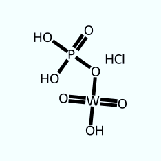 Cl.O=P(O)(O)[O][W](=[O])(=[O])[OH]